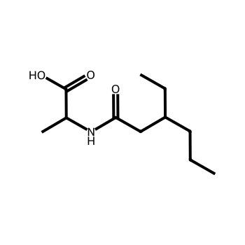 CCCC(CC)CC(=O)NC(C)C(=O)O